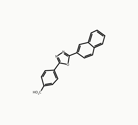 O=C(O)c1ccc(-c2nnc(-c3ccc4ccccc4c3)o2)cc1